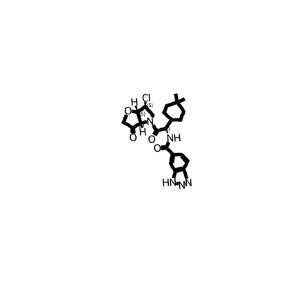 CC1(C)CCC([C@H](NC(=O)c2ccc3nn[nH]c3c2)C(=O)N2C[C@H](Cl)[C@H]3OCC(=O)[C@H]32)CC1